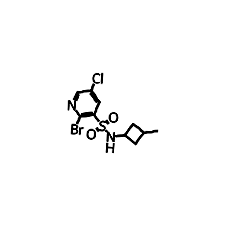 CC1CC(NS(=O)(=O)c2cc(Cl)cnc2Br)C1